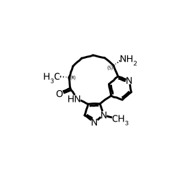 C[C@@H]1CCCC[C@H](N)c2cc(ccn2)-c2c(cnn2C)NC1=O